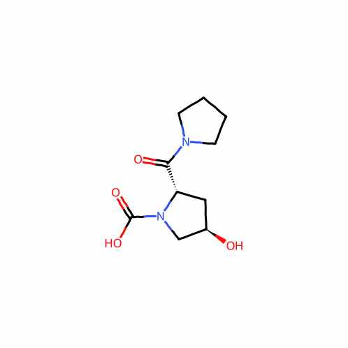 O=C([C@@H]1C[C@@H](O)CN1C(=O)O)N1CCCC1